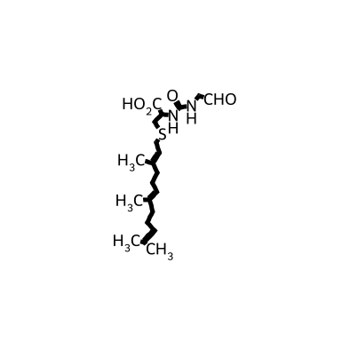 CC(C)=CCC/C(C)=C/CC/C(C)=C/CSCC(NC(=O)NCC=O)C(=O)O